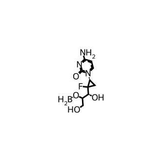 BOC(CO)[C@H](O)C1(F)C[C@H]1n1ccc(N)nc1=O